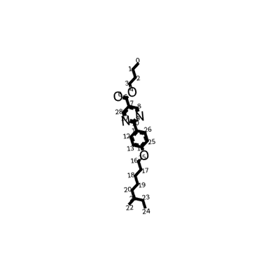 CCCCOC(=O)c1cnc(-c2ccc(OCCCCCC(C)CC)cc2)nc1